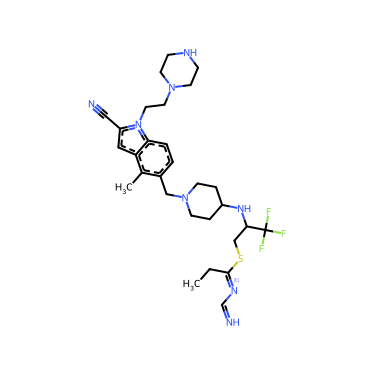 CC/C(=N\C=N)SCC(NC1CCN(Cc2ccc3c(cc(C#N)n3CCN3CCNCC3)c2C)CC1)C(F)(F)F